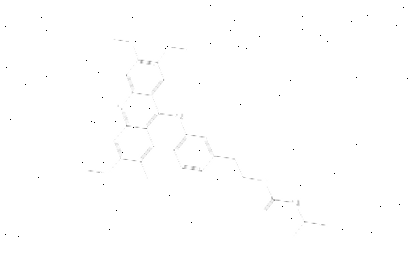 COc1cc2nc3cc(OC)c(OC)cc3c(Nc3cccc(CCOC(=O)NC(C)C)c3)c2cc1C